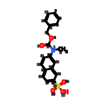 CN(C(=O)OCc1ccccc1)c1ccc2ccc(S(=O)(=O)O)cc2c1